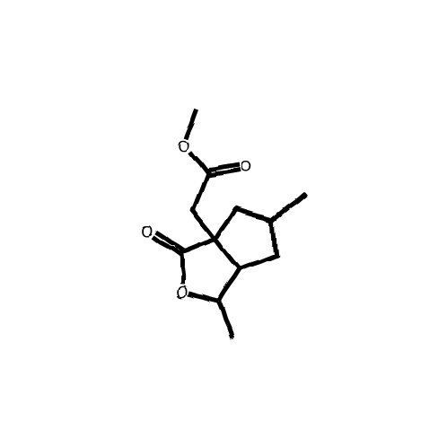 COC(=O)CC12CC(C)CC1C(C)OC2=O